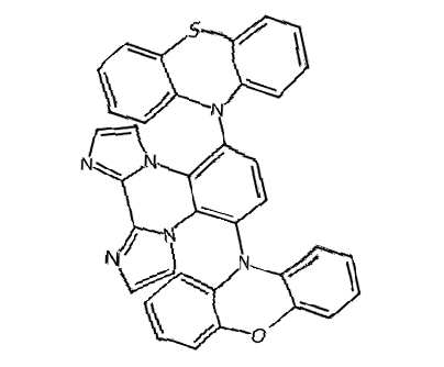 c1ccc2c(c1)Oc1ccccc1N2c1ccc(N2c3ccccc3Sc3ccccc32)c2c1n1ccnc1c1nccn12